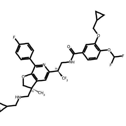 C[C@]1(CNCC2CC2)COc2c1cc([C@@H](CNC(=O)c1ccc(OC(F)F)c(OCC3CC3)c1)C(F)(F)F)nc2-c1ccc(F)cc1